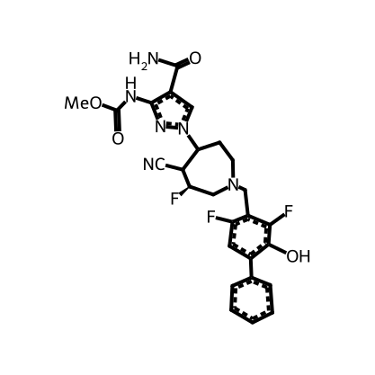 COC(=O)Nc1nn(C2CCN(Cc3c(F)cc(-c4ccccc4)c(O)c3F)C[C@@H](F)C2C#N)cc1C(N)=O